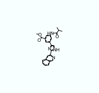 COC(=O)c1cc(NC(=O)C(C)C)cc(-c2c[nH]c(-c3cc4ccccc4cn3)n2)c1